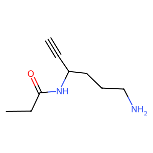 C#CC(CCCN)NC(=O)CC